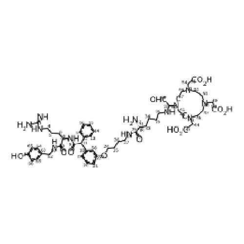 N=C(N)NCCC[C@@H](NC(=O)C(c1ccccc1)c1cccc(OCCCCNC(=O)[C@H](N)CCCCNC(C=O)N2CCN(CC(=O)O)CCN(CC(=O)O)CCN(CC(=O)O)CC2)c1)C(=O)NCc1ccc(O)cc1